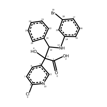 O=C(O)C(O)(c1ccc(Cl)nc1)C(Nc1cccc(Br)c1)c1ccccc1